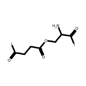 NC(COC(=O)CCC(=O)I)C(=O)I